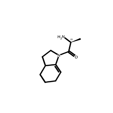 C[C@H](N)C(=O)N1CCC2CCCC=C21